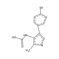 Cc1noc(-c2ccc(S)cc2)c1NC(=O)O